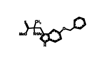 COC(=S)C(C)(Cc1c[nH]c2ccc(OCc3ccccc3)cc12)NC(C)=O